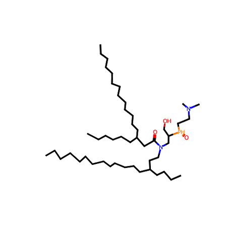 CCCCCCCCCCCCCC(CCCC)CCN(CC(CO)[PH](=O)CCN(C)C)C(=O)CC(CCCCCC)CCCCCCCCCCCCC